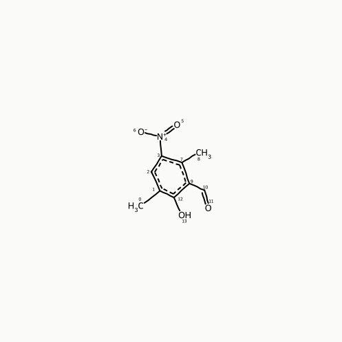 Cc1cc([N+](=O)[O-])c(C)c(C=O)c1O